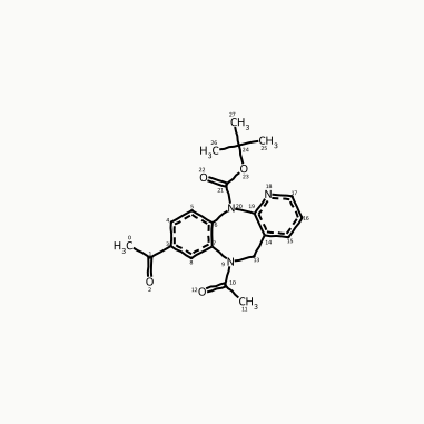 CC(=O)c1ccc2c(c1)N(C(C)=O)Cc1cccnc1N2C(=O)OC(C)(C)C